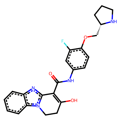 O=C(Nc1ccc(OC[C@@H]2CCCN2)c(F)c1)C1=C(O)CCn2c1nc1ccccc12